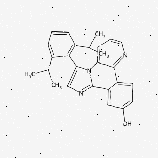 CC(C)c1cccc(C(C)C)c1-c1cnc2c3cc(O)ccc3c3ncccc3n12